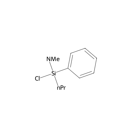 CCC[Si](Cl)(NC)c1ccccc1